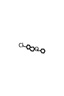 ClCc1ccc2cc(OCc3ccccc3)ccc2c1